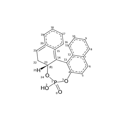 O=P1(O)Oc2ccc3ccccc3c2C2=c3ccccc3=CC[C@H]2O1